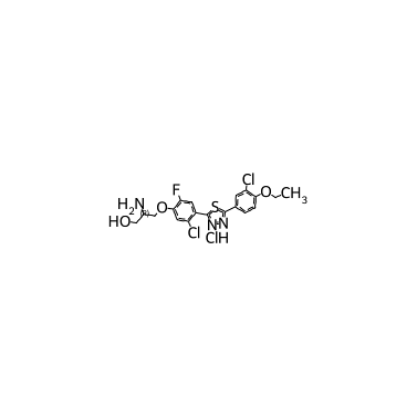 CCOc1ccc(-c2nnc(-c3cc(F)c(OC[C@H](N)CO)cc3Cl)s2)cc1Cl.Cl